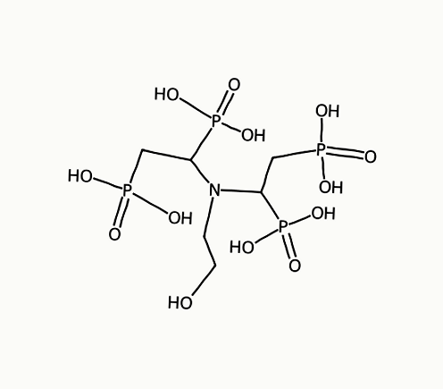 O=P(O)(O)CC(N(CCO)C(CP(=O)(O)O)P(=O)(O)O)P(=O)(O)O